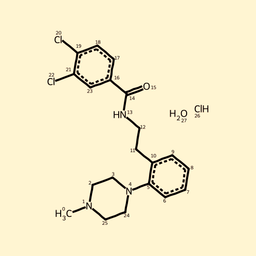 CN1CCN(c2ccccc2CCNC(=O)c2ccc(Cl)c(Cl)c2)CC1.Cl.O